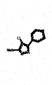 CCn1c(SC)nnc1-c1ccncc1